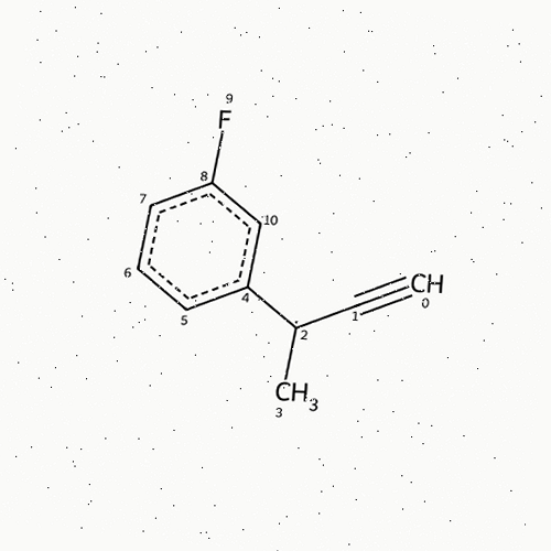 C#C[C](C)c1cccc(F)c1